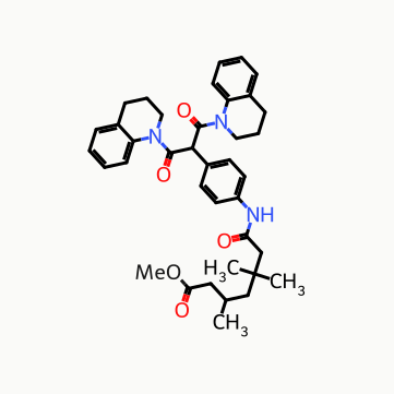 COC(=O)CC(C)CC(C)(C)CC(=O)Nc1ccc(C(C(=O)N2CCCc3ccccc32)C(=O)N2CCCc3ccccc32)cc1